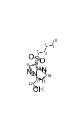 CCCCCS(=O)(=O)c1cnn2c(CO)ccnc12